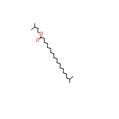 CC(C)CCCCCCCCCCCCCCCCC(=O)OCCC(C)C